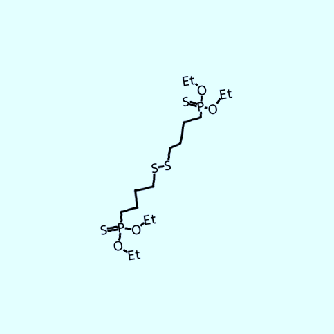 CCOP(=S)(CCCCSSCCCCP(=S)(OCC)OCC)OCC